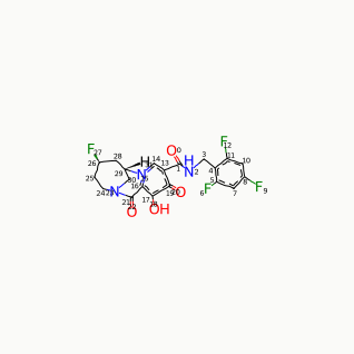 O=C(NCc1c(F)cc(F)cc1F)c1cn2c(c(O)c1=O)C(=O)N1CC[C@@H](F)C[C@H]2C1